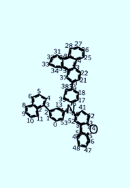 c1cc(-c2cccc3ccccc23)cc(N(c2ccc(-c3ccc4c5ccccc5c5ccccc5c4c3)cc2)c2ccc3oc4ccccc4c3c2)c1